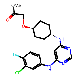 COC(=O)CO[C@H]1CC[C@H](Nc2cc(Nc3ccc(F)c(Cl)c3)ncn2)CC1